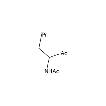 CC(=O)NC(CC(C)C)C(C)=O